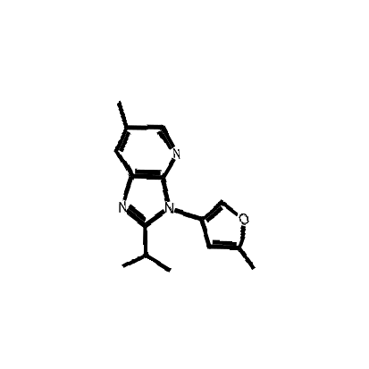 Cc1cnc2c(c1)nc(C(C)C)n2-c1coc(C)c1